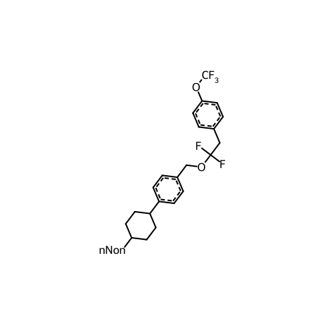 CCCCCCCCCC1CCC(c2ccc(COC(F)(F)Cc3ccc(OC(F)(F)F)cc3)cc2)CC1